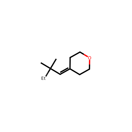 CCC(C)(C)C=C1CCOCC1